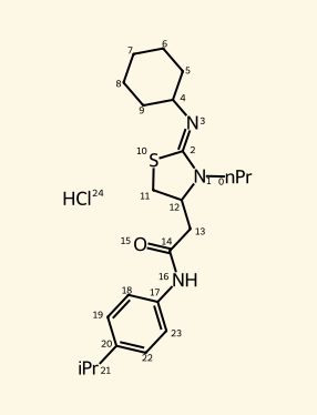 CCCN1C(=NC2CCCCC2)SCC1CC(=O)Nc1ccc(C(C)C)cc1.Cl